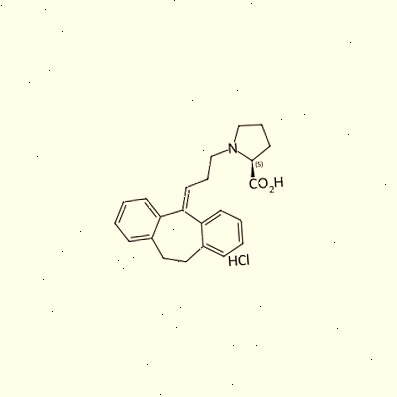 Cl.O=C(O)[C@@H]1CCCN1CCC=C1c2ccccc2CCc2ccccc21